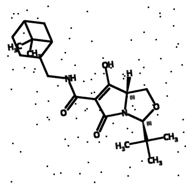 CC1(C)C2CCC(CNC(=O)C3=C(O)[C@@H]4CO[C@@H](C(C)(C)C)N4C3=O)C1C2